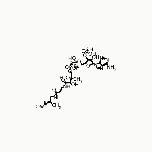 CO/N=C(\C)CNC(=O)CCNC(=O)C(O)C(C)(C)COP(=O)(O)OP(=O)(O)OCC1OC(n2cnc3c(N)ncnc32)C(O)C1OP(=O)(O)O